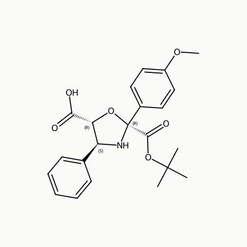 COc1ccc([C@@]2(C(=O)OC(C)(C)C)N[C@@H](c3ccccc3)[C@H](C(=O)O)O2)cc1